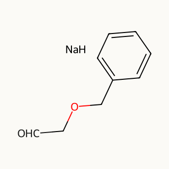 O=CCOCc1ccccc1.[NaH]